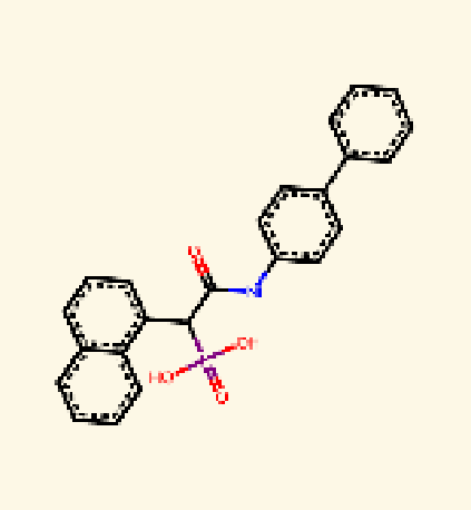 O=C(Nc1ccc(-c2ccccc2)cc1)C(c1cccc2ccccc12)P(=O)(O)O